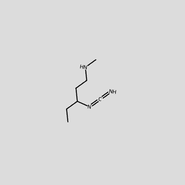 CCC(CCNC)N=C=N